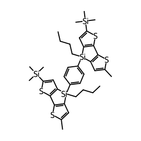 CCCC[Si]1(c2ccc([Si]3(CCCC)c4cc(C)sc4-c4sc([Si](C)(C)C)cc43)cc2)c2cc(C)sc2-c2sc([Si](C)(C)C)cc21